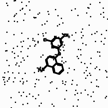 Cc1cc(Oc2ccc(N)c3ccccc23)nc(Cl)n1